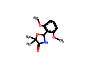 COc1cccc(OC)c1C1NC(=O)C(C)(C)O1